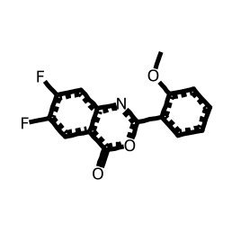 COc1ccccc1-c1nc2cc(F)c(F)cc2c(=O)o1